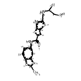 CCC(CO)Nc1nc2sc(C(=O)Nc3ccc4oc(C)nc4c3)cc2s1